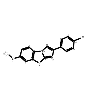 COc1ccc2c(c1)sc1nc(-c3ccc(I)cc3)cn12